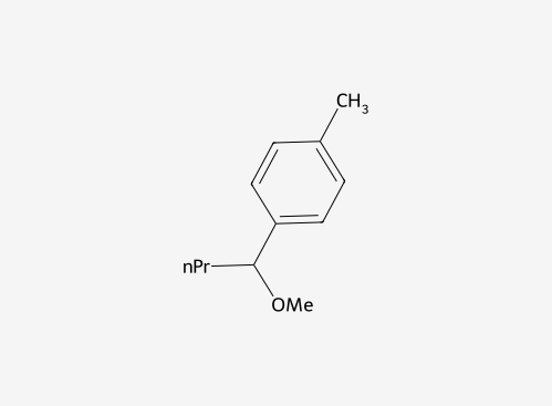 CCCC(OC)c1ccc(C)cc1